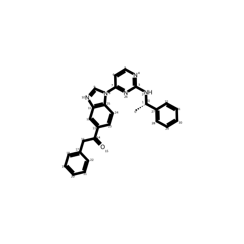 C[C@H](Nc1nccc(-n2cnc3cc(C(=O)Cc4ccccc4)ccc32)n1)c1ccccc1